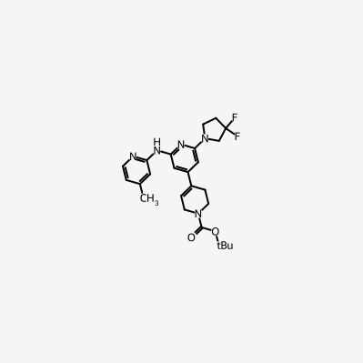 Cc1ccnc(Nc2cc(C3=CCN(C(=O)OC(C)(C)C)CC3)cc(N3CCC(F)(F)C3)n2)c1